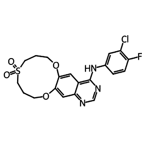 O=S1(=O)CCCOc2cc3ncnc(Nc4ccc(F)c(Cl)c4)c3cc2OCCC1